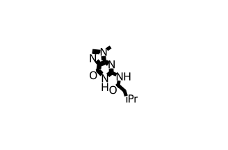 CC(C)CC(=O)Nc1nc2c(ncn2C)c(=O)[nH]1